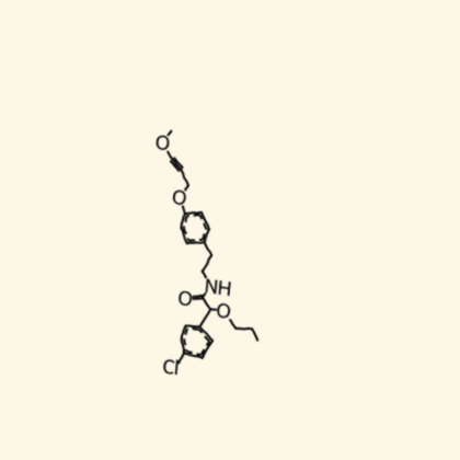 CCCOC(C(=O)NCCc1ccc(OCC#COC)cc1)c1ccc(Cl)cc1